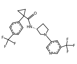 O=C(N[C@@H]1CCN(c2cncc(C(F)(F)F)c2)C1)C1(c2ccc(C(F)(F)F)cc2)CC1